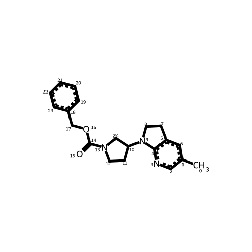 Cc1cnc2c(c1)CCN2C1CCN(C(=O)OCc2ccccc2)C1